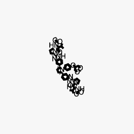 COC(=O)NC(C(=O)N1CCC[C@H]1c1nc2cc([C@H]3CC[C@H](c4ccc5[nH]c([C@@H]6CCCN6C(=O)[C@@H](NC(=O)OC)C(C)C)nc5c4)N3c3ccc(OC4COCOC4)cc3)ccc2[nH]1)C(C)C